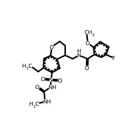 CCc1cc2c(cc1S(=O)(=O)NC(=O)NC)C(CNC(=O)c1cc(F)ccc1OC)CCO2